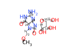 COCCn1c(=O)n([C@@H]2O[C@H](CO)[C@H](O)[C@H]2O)c2nc(N)[nH]c(=O)c21